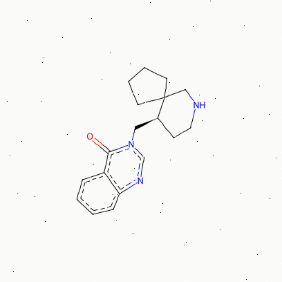 O=c1c2ccccc2ncn1C[C@@H]1CCNCC12CCCC2